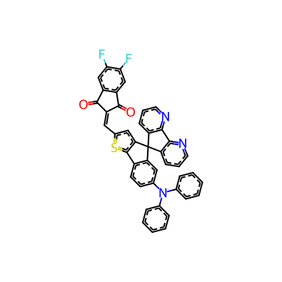 O=C1C(=Cc2cc3c(s2)-c2ccc(N(c4ccccc4)c4ccccc4)cc2C32c3cccnc3-c3ncccc32)C(=O)c2cc(F)c(F)cc21